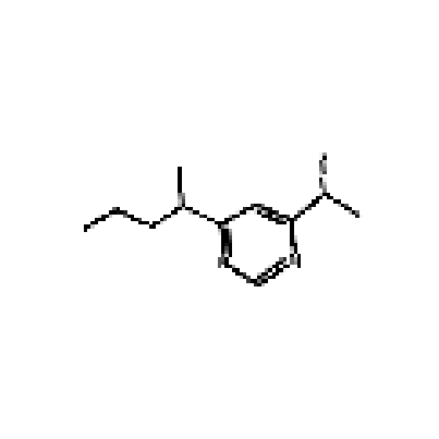 CCCC(C)c1cc(C(C)C)ncn1